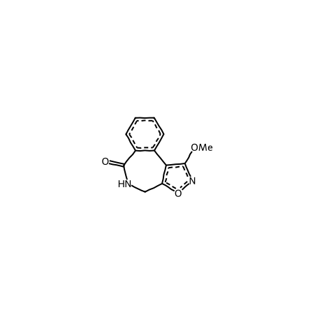 COc1noc2c1-c1ccccc1C(=O)NC2